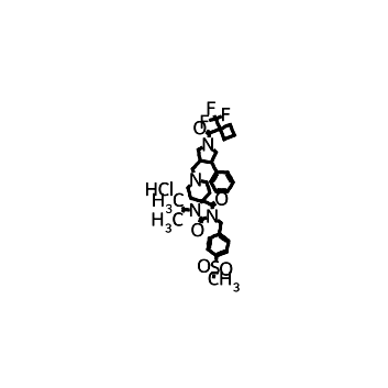 CC(C)N1C(=O)N(Cc2ccc(S(C)(=O)=O)cc2)C(=O)C12CCN(CC1CN(C(=O)C3(C(F)(F)F)CCC3)CC1c1ccccc1)CC2.Cl